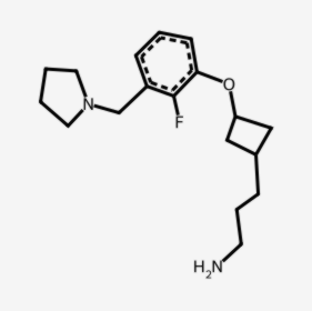 NCCCC1CC(Oc2cccc(CN3CCCC3)c2F)C1